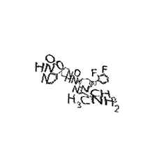 CC(C)(N)c1cnc2n1C[C@H](c1cccc(F)c1F)CC[C@H]2NC(=O)N1CCC2(CC1)OC(=O)Nc1ncccc12